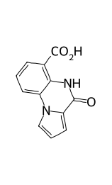 O=C(O)c1cccc2c1[nH]c(=O)c1cccn12